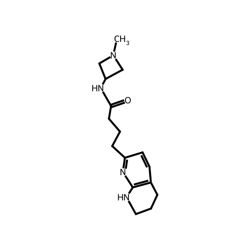 CN1CC(NC(=O)CCCc2ccc3c(n2)NCCC3)C1